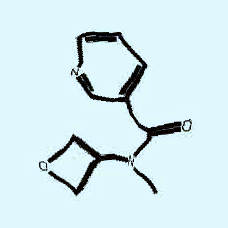 CN(C(=O)c1cc[c]nc1)C1COC1